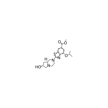 COC(=O)c1cc(OC(C)C)c2nc(N3CCN4C[C@@H](O)C[C@H]4C3)sc2c1